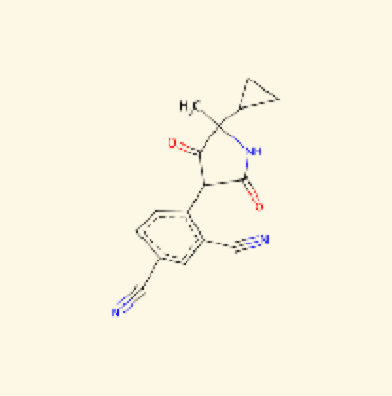 CC1(C2CC2)NC(=O)C(c2ccc(C#N)cc2C#N)C1=O